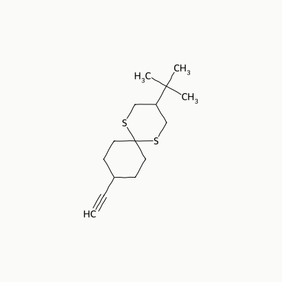 C#CC1CCC2(CC1)SCC(C(C)(C)C)CS2